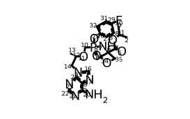 CC(C)OC(=O)C1(NP(=O)(CO[C@H](C)Cn2cnc3c(N)ncnc32)Oc2ccc(F)cc2)COC1